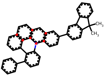 CC1(C)c2ccccc2-c2cc(-c3ccc(N(c4ccccc4)c4cccc(-c5ccccc5)c4-c4ccccc4-c4ccccc4)cc3)ccc21